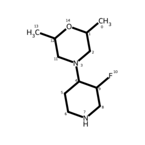 CC1CN(C2CCNCC2F)CC(C)O1